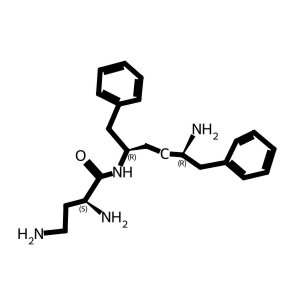 NCC[C@H](N)C(=O)N[C@H](CC[C@@H](N)Cc1ccccc1)Cc1ccccc1